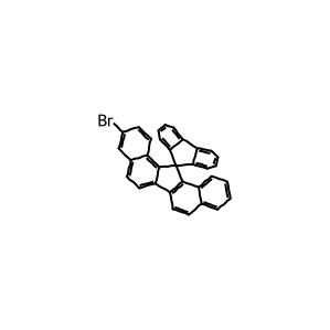 Brc1ccc2c3c(ccc2c1)-c1ccc2ccccc2c1C31c2ccccc2-c2ccccc21